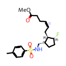 COC(=O)CC/C=C\C[C@@H]1[C@@H](CNS(=O)(=O)c2ccc(C)cc2)CC[C@H]1F